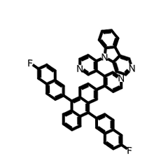 Fc1ccc2cc(-c3c4ccccc4c(-c4ccc5cc(F)ccc5c4)c4cc(-c5ccncc5-c5cnccc5-n5c6ccccc6c6cnccc65)ccc34)ccc2c1